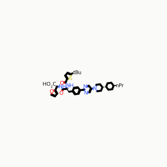 CCC[C@H]1CC[C@H](C2CCN(c3cnc(-c4ccc(C[C@H](NC(=O)c5ccc(C(C)(C)C)s5)C(=O)NC(C(=O)O)c5ccco5)cc4)nc3)CC2)CC1